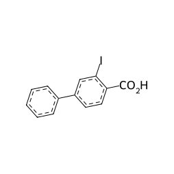 O=C(O)c1ccc(-c2ccccc2)cc1I